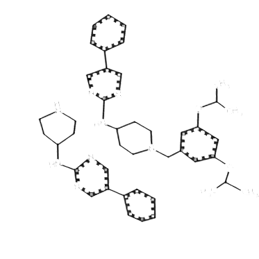 CC(C)Oc1cc(CN2CCC(Nc3ncc(-c4ccccc4)cn3)CC2)cc(OC(C)C)c1.c1ccc(-c2cnc(NC3CCNCC3)nc2)cc1